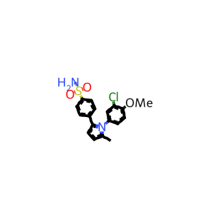 COc1ccc(-n2c(C)ccc2-c2ccc(S(N)(=O)=O)cc2)cc1Cl